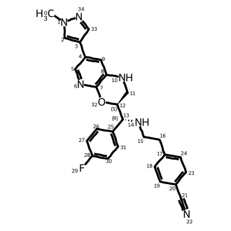 Cn1cc(-c2cnc3c(c2)NC[C@@H]([C@H](NCCc2ccc(C#N)cc2)c2ccc(F)cc2)O3)cn1